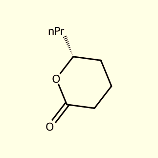 CCC[C@@H]1CCCC(=O)O1